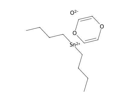 C1=COC=CO1.CCC[CH2][Sn+2][CH2]CCC.[O-2]